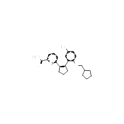 O=C(O)c1cccc(C2=C(c3cc(Br)ccc3OCC3CCCC3)CCC2)n1